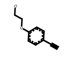 C#Cc1ccc(OCCCl)cc1